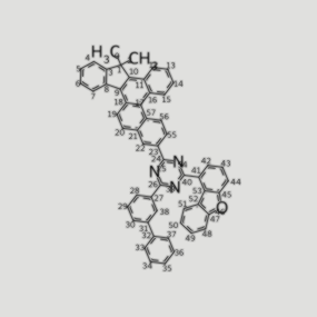 CC1(C)c2ccccc2-c2c1c1ccccc1c1c2ccc2cc(-c3nc(-c4cccc(-c5ccccc5)c4)nc(-c4cccc5oc6ccccc6c45)n3)ccc21